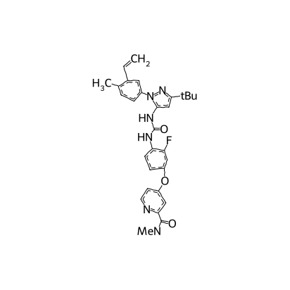 C=Cc1cc(-n2nc(C(C)(C)C)cc2NC(=O)Nc2ccc(Oc3ccnc(C(=O)NC)c3)cc2F)ccc1C